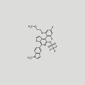 COCCOc1cc(F)cc(F)c1-c1c(OS(=O)(=O)C(F)(F)F)nc(-c2ccc3c(ccn3C)c2)c2sccc12